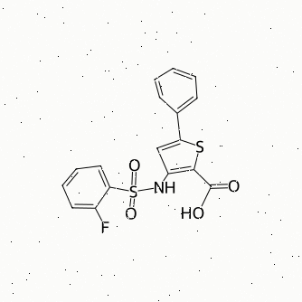 O=C(O)c1sc(-c2ccccc2)cc1NS(=O)(=O)c1ccccc1F